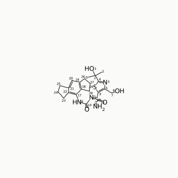 CC(C)(O)c1nc(CO)c([S@@](N)(=O)=NC(=O)Nc2c3c(cc4c2CCC4)CCC3)s1